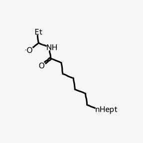 CCCCCCCCCCCCCC(=O)NC([O])CC